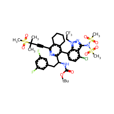 CC(C)(C)OC(=O)NC(Cc1cc(F)cc(F)c1)c1nc(C#CC(C)(C)S(C)(=O)=O)c2c(c1-c1ccc(Cl)c3c(N(S(C)(=O)=O)S(C)(=O)=O)nn(CC(F)(F)F)c13)CCCC2